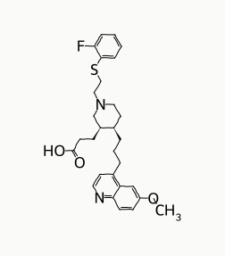 COc1ccc2nccc(CCC[C@@H]3CCN(CCSc4ccccc4F)C[C@@H]3CCC(=O)O)c2c1